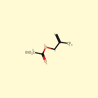 C=C(COC(=O)C(=O)OCC)C(F)(F)F